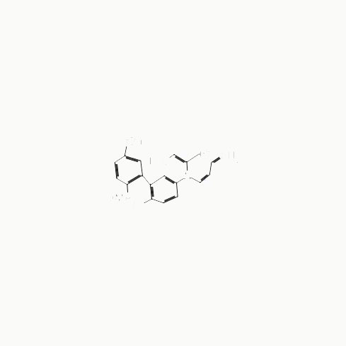 C=C/C=C\N(/C(=C\C)C(C)C)c1ccc(CC)c(-c2cc(C(C)(C)C)ccc2OC)c1